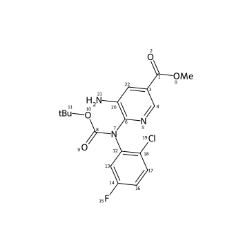 COC(=O)c1cnc(N(C(=O)OC(C)(C)C)c2cc(F)ccc2Cl)c(N)c1